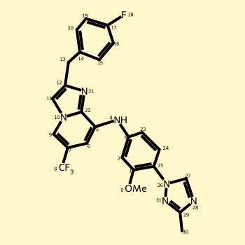 COc1cc(Nc2cc(C(F)(F)F)cn3cc(Cc4ccc(F)cc4)nc23)ccc1-n1cnc(C)n1